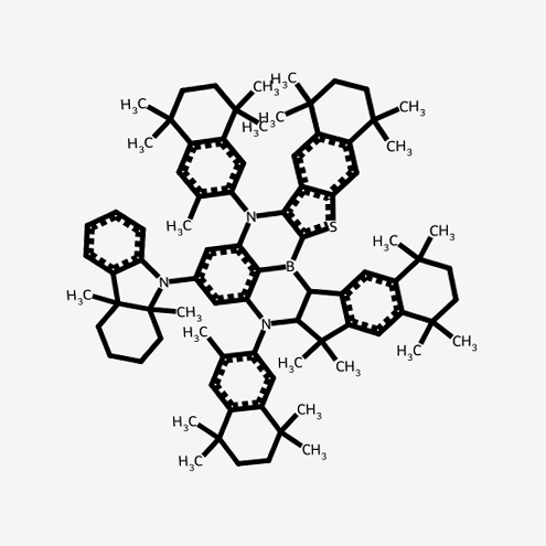 Cc1cc2c(cc1N1c3cc(N4c5ccccc5C5(C)CCCCC45C)cc4c3B(c3sc5cc6c(cc5c31)C(C)(C)CCC6(C)C)C1c3cc5c(cc3C(C)(C)C1N4c1cc3c(cc1C)C(C)(C)CCC3(C)C)C(C)(C)CCC5(C)C)C(C)(C)CCC2(C)C